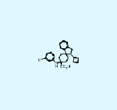 O=C(O)C1(Nc2cccc(Cl)c2)CCC2(CC1)c1ccccc1C[C@H]2C1CCC1